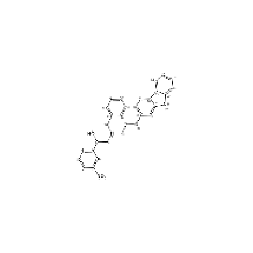 O=[N+]([O-])c1cccc(C(O)CN(CCOc2ccc3c(c2)[nH]c2ccccc23)Cc2ccccc2)c1